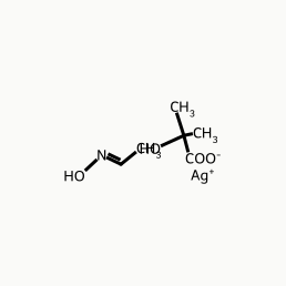 CC(C)(O)C(=O)[O-].CC=NO.[Ag+]